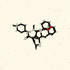 COC(=O)C1=C(C(=O)NC2CCN(C)CC2)C2OC1(C(Cc1ccccc1)Oc1ccccc1)OC2C